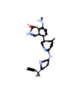 C#CC1(c2ccc(Nc3cc(C)c(-c4ccc(NC)c5c4CNC5=O)cn3)cn2)CC1